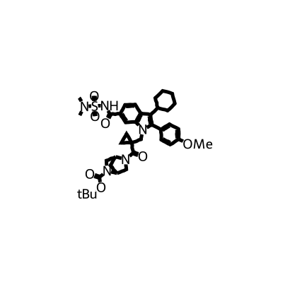 COc1ccc(-c2c(C3CCCCC3)c3ccc(C(=O)NS(=O)(=O)N(C)C)cc3n2CC2(C(=O)N3CC4CC3CN4C(=O)OC(C)(C)C)CC2)cc1